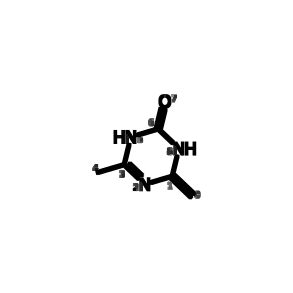 C=C1N=C(C)NC(=O)N1